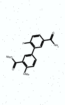 COC(=O)c1cc(-c2cc(C(N)=O)ccc2F)ccc1OC